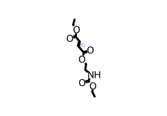 CCOC(=O)/C=C/C(=O)OCCNC(=O)OCC